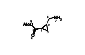 COC(=O)[C@@H]1C[C@H]1CN